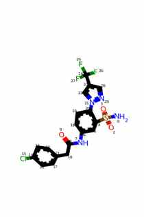 NS(=O)(=O)c1cc(NC(=O)Cc2ccc(Cl)cc2)ccc1-n1cc(C(F)(F)F)cn1